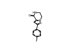 O=C1NCCn2nc(-c3ccc(F)cc3)cc21